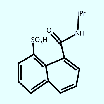 CC(C)NC(=O)c1cccc2cccc(S(=O)(=O)O)c12